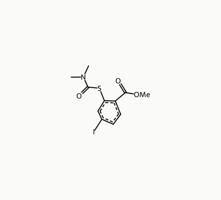 COC(=O)c1ccc(I)cc1SC(=O)N(C)C